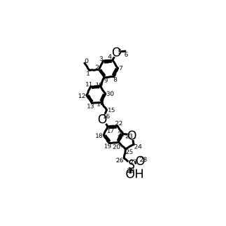 CCc1cc(OC)ccc1-c1cccc(COc2ccc3c(c2)OCC3CS(=O)O)c1